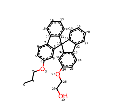 CCCOc1ccc2c(c1)C1(c3ccccc3-2)c2ccccc2-c2ccc(OCCO)cc21